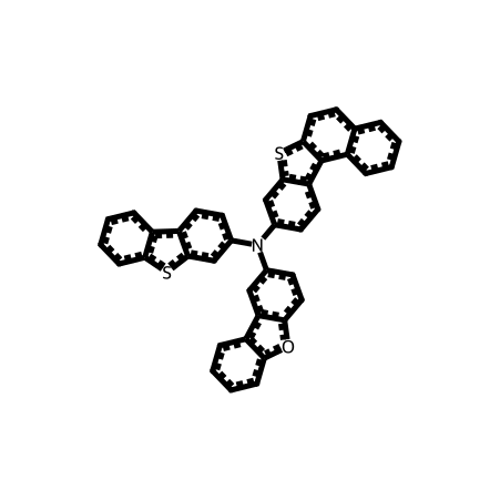 c1ccc2c(c1)ccc1sc3cc(N(c4ccc5c(c4)sc4ccccc45)c4ccc5oc6ccccc6c5c4)ccc3c12